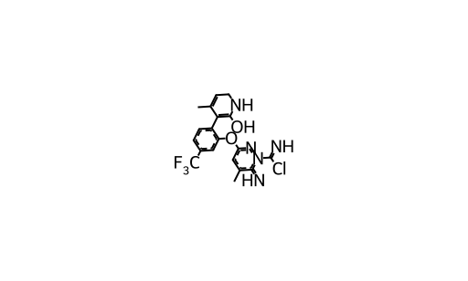 CC1=CCNC(O)=C1c1ccc(C(F)(F)F)cc1Oc1cc(C)c(=N)n(C(=N)Cl)n1